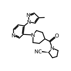 Cc1cnn(-c2ccncc2N2CCC(C(=O)N3CCC[C@H]3C#N)CC2)c1